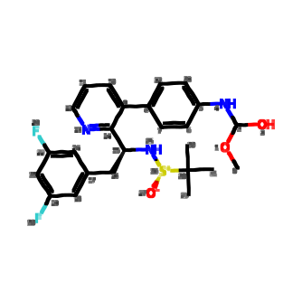 COC(O)Nc1ccc(-c2cccnc2[C@H](Cc2cc(F)cc(F)c2)N[S@+]([O-])C(C)(C)C)cc1